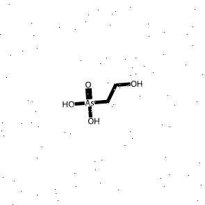 O=[As](O)(O)CCO